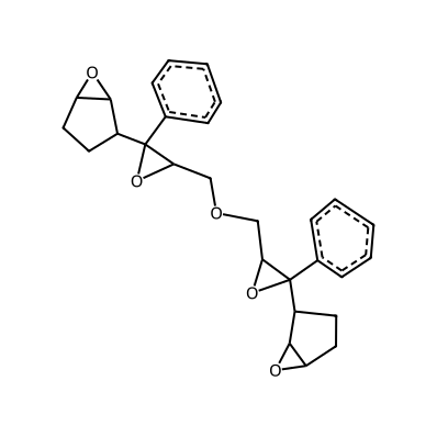 c1ccc(C2(C3CCC4OC43)OC2COCC2OC2(c2ccccc2)C2CCC3OC32)cc1